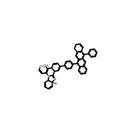 C/C=C\C1=C(C)C2C=CC(c3ccc(-c4c5ccccc5cc5c(-c6ccccc6)c6c(cc45)CCC=C6)cc3)=CC2C2=N[C@@H]3C=CC=CC3N21